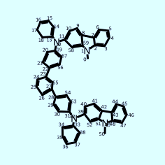 Cn1c2ccccc2c2ccc(N(C3=CC=CCC3)c3ccc(-c4cccc(-c5ccc(N(c6ccccc6)c6ccc7c8ccccc8n(C)c7c6)cc5)c4)cc3)cc21